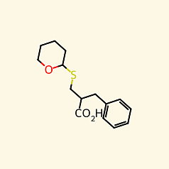 O=C(O)C(CSC1CCCCO1)Cc1ccccc1